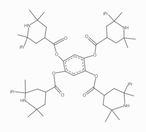 CC(C)C1(C)CC(C(=O)Oc2cc(OC(=O)C3CC(C)(C)NC(C)(C(C)C)C3)c(OC(=O)C3CC(C)(C)NC(C)(C(C)C)C3)cc2OC(=O)C2CC(C)(C)NC(C)(C(C)C)C2)CC(C)(C)N1